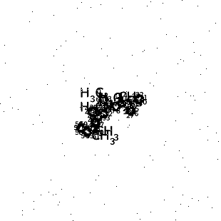 Cc1ccc(N(c2ccc3c(c2)C(C)(C)c2cc(-c4ccccc4)c4ccccc4c2-3)c2ccc3c(c2)C2(CCCCC2)c2cc4c(cc2-3)C(C)(C)c2ccc3ccccc3c2-4)c(C)c1